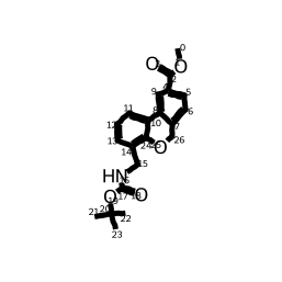 COC(=O)c1ccc2c(c1)-c1cccc(CNC(=O)OC(C)(C)C)c1OC2